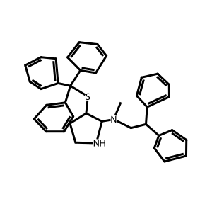 CN(CC(c1ccccc1)c1ccccc1)C1NCCC1SC(c1ccccc1)(c1ccccc1)c1ccccc1